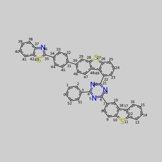 c1ccc(-c2nc(-c3ccc4sc5ccccc5c4c3)nc(-c3cccc4sc5cc(-c6ccc(-c7nc8ccccc8s7)cc6)ccc5c34)n2)cc1